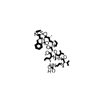 CC[C@H](C)[C@@H]([C@@H](CC(=O)N1CCC[C@H]1[C@H](OC)[C@@H](C)C(=O)N[C@@H](Cc1ccccc1)c1nccs1)OC)N(C)C(=O)[C@@H](NC(=O)[C@H](C(C)C)N(C)CCNC(=O)O)C(C)C